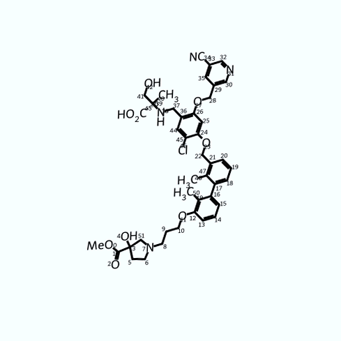 COC(=O)C1(O)CCN(CCCOc2cccc(-c3cccc(COc4cc(OCc5cncc(C#N)c5)c(CN[C@](C)(CO)C(=O)O)cc4Cl)c3C)c2C)C1